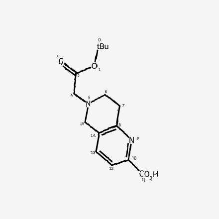 CC(C)(C)OC(=O)CN1CCc2nc(C(=O)O)ccc2C1